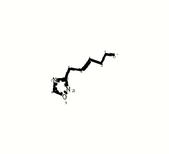 [CH2]CC/C=C/Cc1ncon1